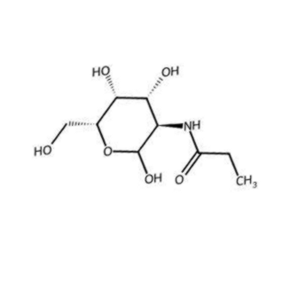 CCC(=O)N[C@H]1C(O)O[C@H](CO)[C@H](O)[C@@H]1O